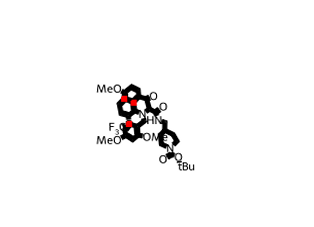 COc1ccc(C(=O)C(C(=O)NCC2CCN(C(=O)OC(C)(C)C)CC2)N(Cc2ccc(OC)cc2OC)c2ccccc2OC(F)(F)F)cc1